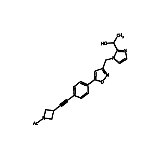 CC(=O)N1CC(C#Cc2ccc(-c3cc(Cn4ccnc4C(C)O)no3)cc2)C1